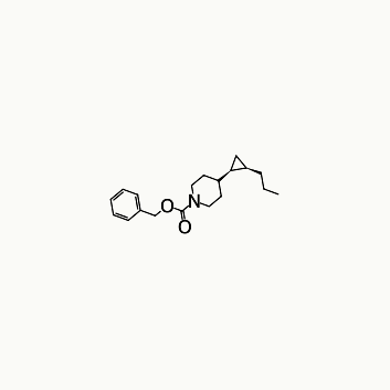 CCC[C@@H]1C[C@@H]1C1CCN(C(=O)OCc2ccccc2)CC1